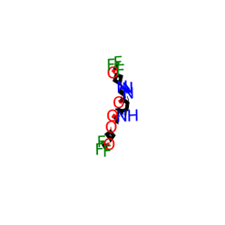 O=C(CO[C@H]1C[C@@H](OC(F)(F)F)C1)N[C@@H]1CC[C@@H](c2cn([C@H]3C[C@@H](OC(F)(F)F)C3)nn2)OC1